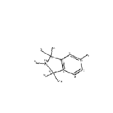 Cc1ccc2c(c1)C(C)(C)N(C)C2(C)C